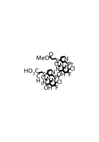 CC(CSc1ccnc(C(C)C)c1-n1c(=O)nc(O)c2cc(F)c(Cl)nc21)C(=O)O.COC(=O)CCSc1ccnc(C(C)C)c1-n1c(=O)nc(O)c2cc(F)c(Cl)nc21